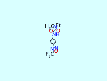 CCN(C)C(=O)C(=O)NCc1ccc(-c2noc(C(F)(F)F)n2)cc1